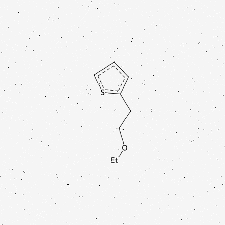 CCO[CH]Cc1cccs1